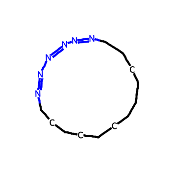 C1CCCCCCN=NN=NN=NCCCCC1